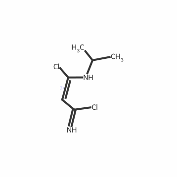 CC(C)N/C(Cl)=C\C(=N)Cl